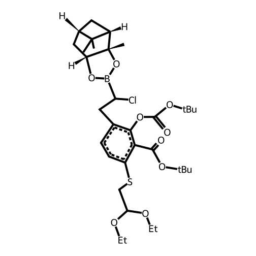 CCOC(CSc1ccc(CC(Cl)B2O[C@@H]3C[C@@H]4C[C@@H](C4(C)C)[C@]3(C)O2)c(OC(=O)OC(C)(C)C)c1C(=O)OC(C)(C)C)OCC